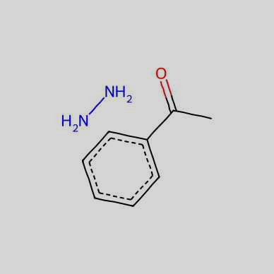 CC(=O)c1ccccc1.NN